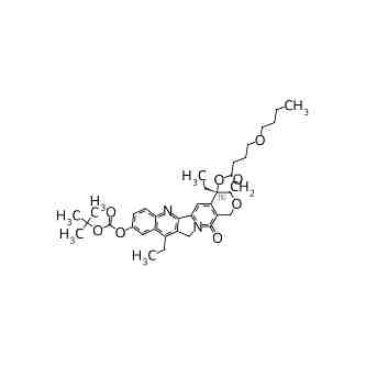 C=C1OCc2c(cc3n(c2=O)Cc2c-3nc3ccc(OC(=O)OC(C)(C)C)cc3c2CC)[C@]1(CC)OC(=O)CCCOCCCC